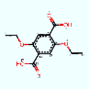 CCOc1cc(C(=O)O)c(OCC)cc1C(=O)O